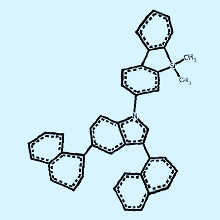 C[Si]1(C)c2ccccc2-c2ccc(-n3cc(-c4cccc5ccccc45)c4cc(-c5cccc6ccccc56)ccc43)cc21